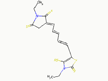 CCN1C(=S)C\C(=C/C=C/C=C/c2sc(=S)n(CC)c2S)C1=S